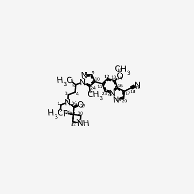 CCN(CCC(C)n1ncc(-c2cc(OC)c3c(C#N)cnn3c2)c1C)C(=O)C1(F)CNC1